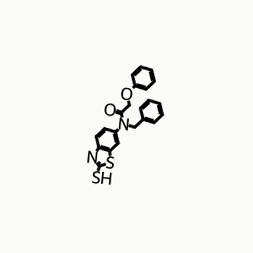 O=C(COc1ccccc1)N(Cc1ccccc1)c1ccc2nc(S)sc2c1